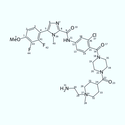 COc1ccc(-c2cnc(C(=O)Nc3ccc(C(=O)N4CCN(C(=O)C5CC[N+](C)(CCN)CC5)CC4)c(Cl)c3)n2C)c(F)c1F